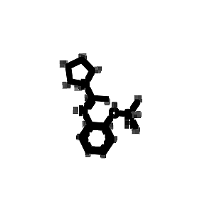 CC(=Nc1ccccc1O[SiH](C)C)N1CCCC1